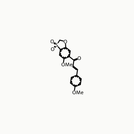 COc1ccc(C=CC(=O)c2cc3c(cc2OC)S(=O)(=O)CO3)cc1